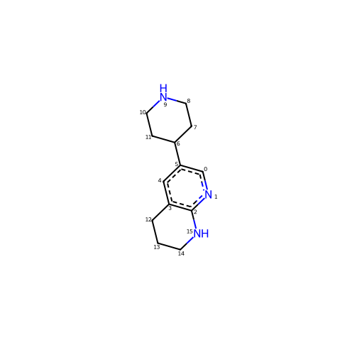 c1nc2c(cc1C1CCNCC1)CCCN2